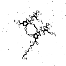 CCc1nc(C)oc1C(=O)Nc1nc2cc(C(N)=O)cc3c2n1C/C=C/Cn1c(NC(=O)c2oc(C)nc2CC)nc2cc(C(=O)NCCOCCOCCO)cc(c21)OCCCO3